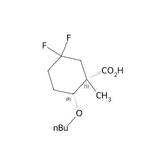 CCCCO[C@@H]1CCC(F)(F)C[C@]1(C)C(=O)O